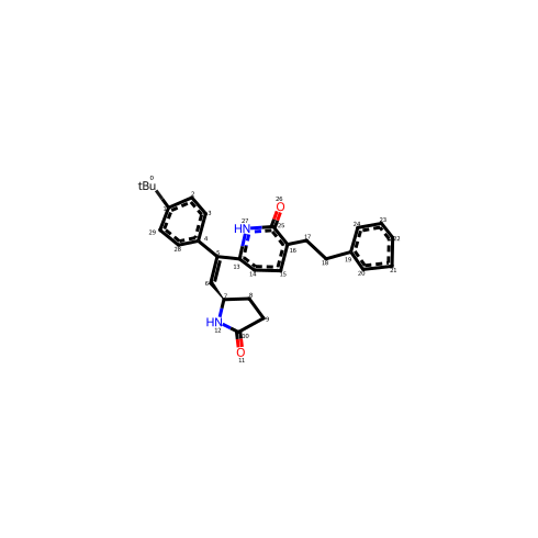 CC(C)(C)c1ccc(C(=C[C@H]2CCC(=O)N2)c2ccc(CCc3ccccc3)c(=O)[nH]2)cc1